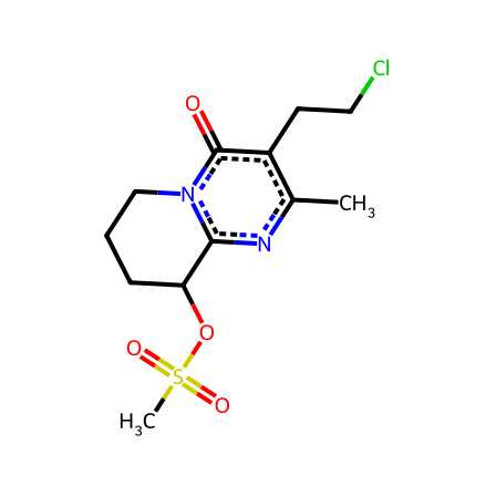 Cc1nc2n(c(=O)c1CCCl)CCCC2OS(C)(=O)=O